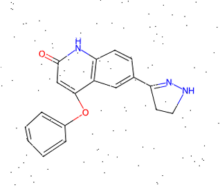 O=c1cc(Oc2ccccc2)c2cc(C3=NNCC3)ccc2[nH]1